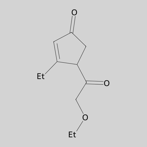 CCOCC(=O)C1CC(=O)C=C1CC